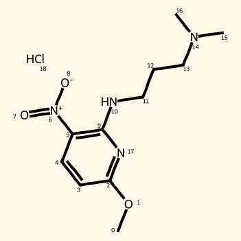 COc1ccc([N+](=O)[O-])c(NCCCN(C)C)n1.Cl